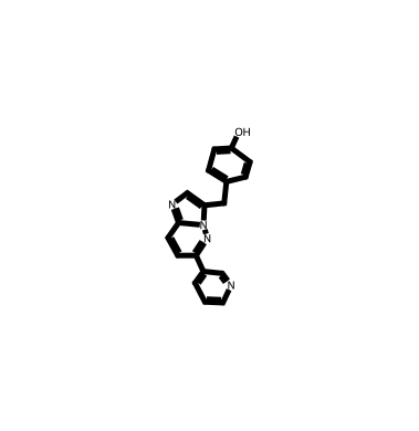 Oc1ccc(Cc2cnc3ccc(-c4cccnc4)nn23)cc1